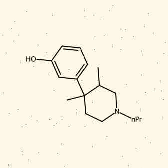 [CH2]CCN1CCC(C)(c2cccc(O)c2)C(C)C1